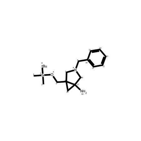 CC(C)(C)[Si](C)(C)OCC12CN(Cc3ccccc3)CC1(N)C2